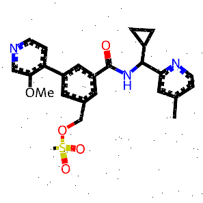 COc1cnccc1-c1cc(COS(C)(=O)=O)cc(C(=O)NC(c2cc(C)ccn2)C2CC2)c1